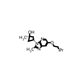 Cc1nc2cc(OCCC(C)C)cnc2n1[C@H]1C[C@](C)(O)C1